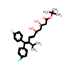 CC(C)C(C=C[C@@H](O)C[C@@H](O)CC(=O)OC(C)(C)C)=C(c1ccc(F)cc1)c1ccc(F)cc1